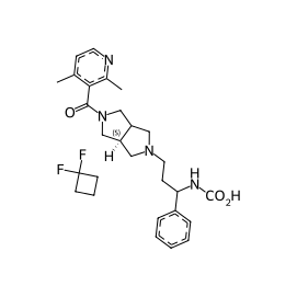 Cc1ccnc(C)c1C(=O)N1CC2CN(CCC(NC(=O)O)c3ccccc3)C[C@H]2C1.FC1(F)CCC1